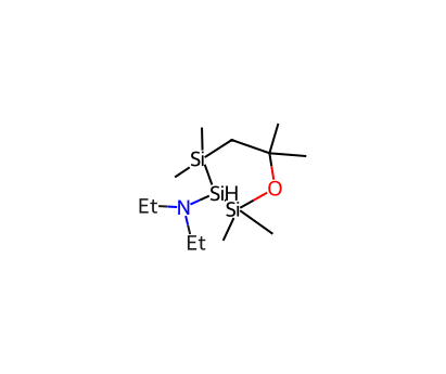 CCN(CC)[SiH]1[Si](C)(C)CC(C)(C)O[Si]1(C)C